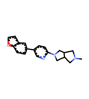 CN1CC2CN(c3ccc(-c4ccc5occc5c4)cn3)CC2C1